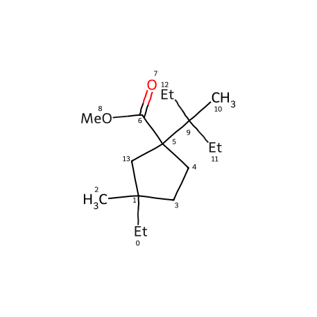 CCC1(C)CCC(C(=O)OC)(C(C)(CC)CC)C1